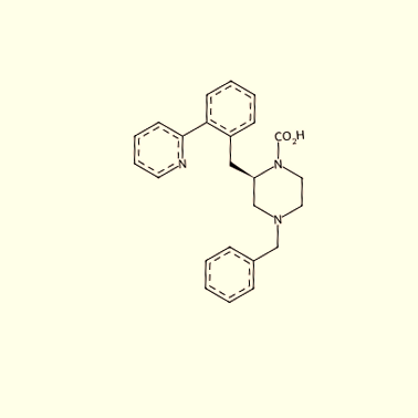 O=C(O)N1CCN(Cc2ccccc2)C[C@H]1Cc1ccccc1-c1ccccn1